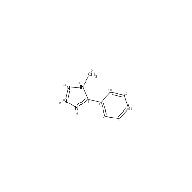 Cn1nnnc1-c1cc[c]cc1